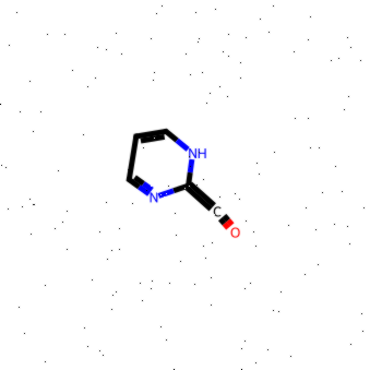 O=C=C1N=CC=CN1